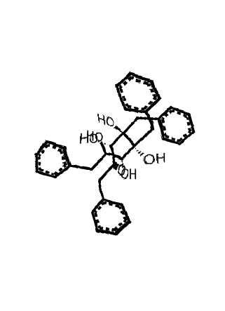 O=C(Cc1ccccc1)[C@H](O)[C@](O)(Cc1ccccc1)[C@@](O)(Cc1ccccc1)[C@H](O)C(O)Cc1ccccc1